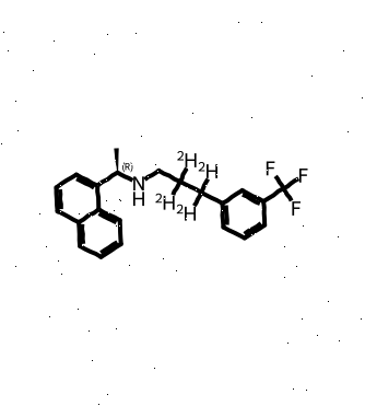 [2H]C([2H])(CN[C@H](C)c1cccc2ccccc12)C([2H])([2H])c1cccc(C(F)(F)F)c1